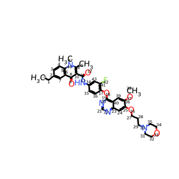 CCc1ccc2c(c1)c(=O)c(C(=O)Nc1ccc(Oc3ncnc4cc(OCCCN5CCOCC5)c(OC)cc34)c(F)c1)c(C)n2C